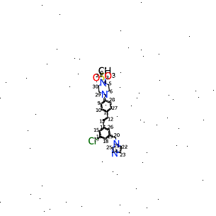 CS(=O)(=O)N1CCN(c2ccc(C=Cc3cc(Cl)cc(Cn4ccnc4)c3)cc2)CC1